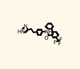 O=C(Nc1ccc(CCc2c[nH]cn2)cc1)c1cc(C(F)(F)F)ccc1-c1ccccc1